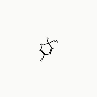 N#CC1([N+](=O)[O-])C=CC(Cl)=CN1